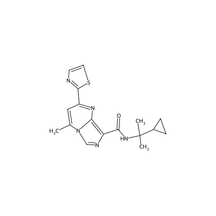 Cc1cc(-c2nccs2)nc2c(C(=O)NC(C)(C)C3CC3)ncn12